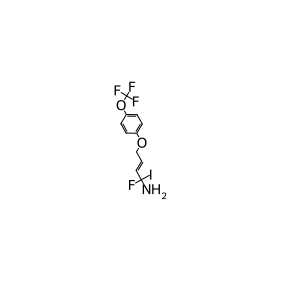 NC(F)(I)C=CCOc1ccc(OC(F)(F)F)cc1